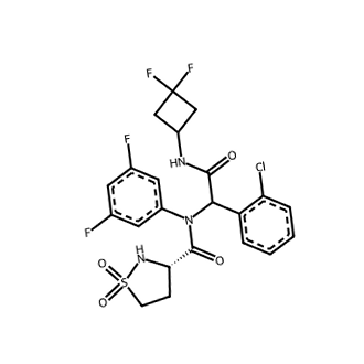 O=C(NC1CC(F)(F)C1)C(c1ccccc1Cl)N(C(=O)[C@@H]1CCS(=O)(=O)N1)c1cc(F)cc(F)c1